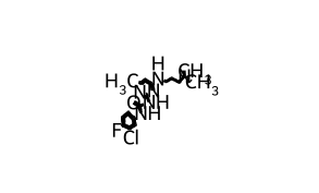 Cc1cc(NCCCN(C)C)nc(NC(=O)Nc2ccc(F)c(Cl)c2)n1